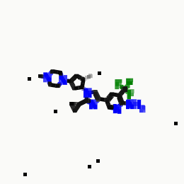 C[C@H]1CC(N2CCN(C)CC2)C[C@H]1n1cc(-c2cnc(N)c(C(F)(F)F)c2)nc1C1CC1